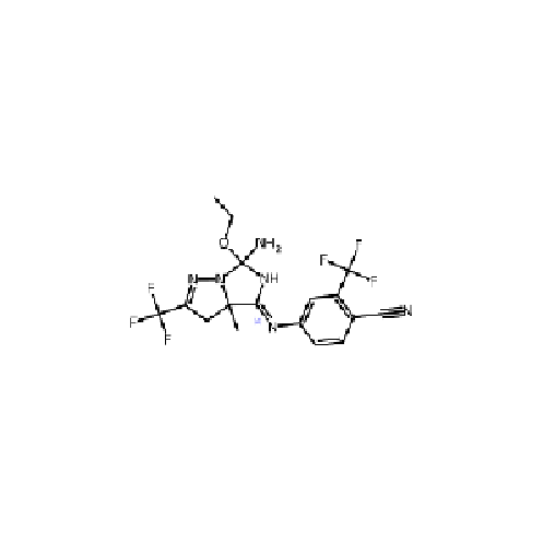 CCOC1(N)N/C(=N\c2ccc(C#N)c(C(F)(F)F)c2)C2(C)CC(C(F)(F)F)=NN12